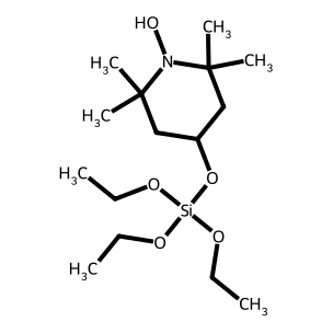 CCO[Si](OCC)(OCC)OC1CC(C)(C)N(O)C(C)(C)C1